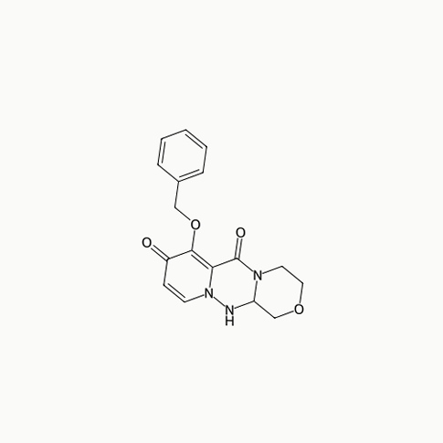 O=C1c2c(OCc3ccccc3)c(=O)ccn2NC2COCCN12